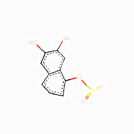 O=[SH](=O)Oc1cccc2cc(O)c(O)cc12